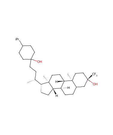 CC(C)C1CCC(O)(CC[C@@H](C)[C@H]2CC[C@H]3[C@@H]4CCC5C[C@](O)(C(F)(F)F)CC[C@]5(C)[C@H]4CC[C@]23C)CC1